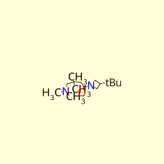 CN(C)CC(C)(C)CC(=O)N1CC(C(C)(C)C)C1